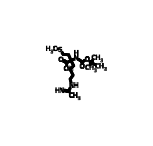 CSCCC(CCCCNC(C)=N)(NC(=O)OC(C)(C)C)C(=O)O